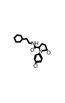 O=C(NCCC1CCCCC1)C1CCC(=O)N1c1ccc(Cl)cc1